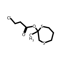 CC1(OC(=O)CCCl)CSCCCS1